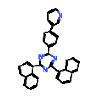 c1cncc(-c2ccc(-c3nc(-c4cccc5ccccc45)nc(-c4cccc5ccccc45)n3)cc2)c1